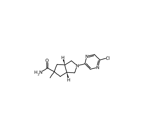 CC1(C(N)=O)C[C@H]2CN(c3cnc(Cl)cn3)C[C@H]2C1